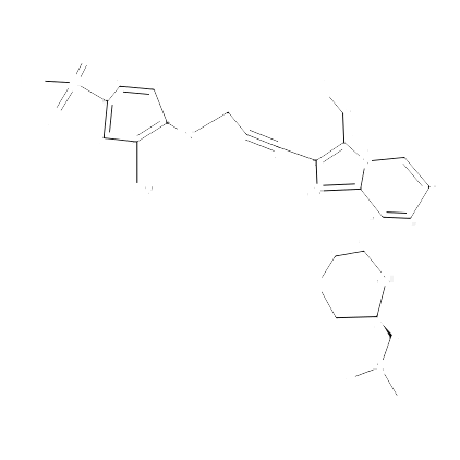 COc1cc(S(C)(=O)=O)ccc1NCC#Cc1nc2c([C@H]3COC[C@H](CN(C)C)N3)cccn2c1CC(F)(F)F